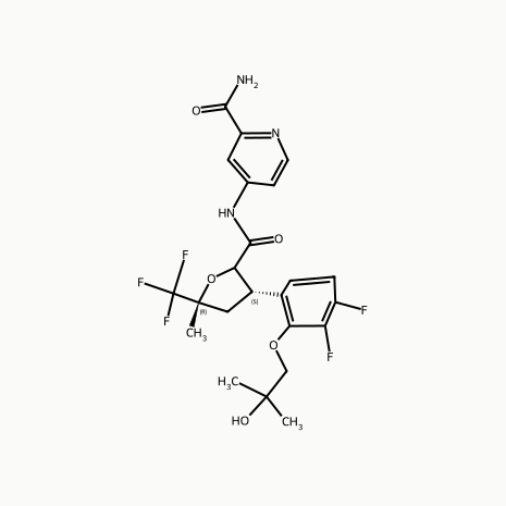 CC(C)(O)COc1c([C@@H]2C[C@](C)(C(F)(F)F)OC2C(=O)Nc2ccnc(C(N)=O)c2)ccc(F)c1F